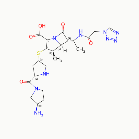 CC(NC(=O)Cn1cnnn1)[C@H]1C(=O)N2C(C(=O)O)=C(S[C@@H]3CN[C@H](C(=O)N4CC[C@@H](N)C4)C3)[C@H](C)[C@H]12